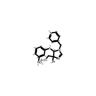 CC(=O)OCC1(C(C)C)N=CN(Cc2ccncc2)C1Sc1cccc([N+](=O)[O-])c1